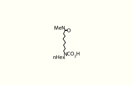 CCCCCCN(CCCCCCCC(=O)NC)C(=O)O